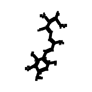 CCC(C(=O)O)=C(C)C(F)=CC=C(C)C=Cc1c(Cl)cc(OC)c(C)c1Cl